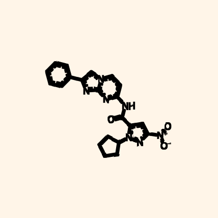 O=C(Nc1ccn2cc(-c3ccccc3)nc2n1)c1cc([N+](=O)[O-])nn1C1CCCC1